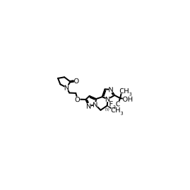 C[C@H]1Cn2nc(OCCN3CCCC3=O)cc2-c2cnc(C(C)(O)C(F)(F)F)n21